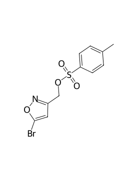 Cc1ccc(S(=O)(=O)OCc2cc(Br)on2)cc1